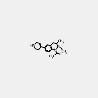 CC[C@H]1C(C)Cc2cc(C3=CCNCC3)ccc2N1C(C)=O